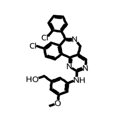 COc1cc(CO)cc(Nc2ncc3c(n2)-c2ccc(Cl)cc2C(c2ccccc2Cl)=NC3)c1